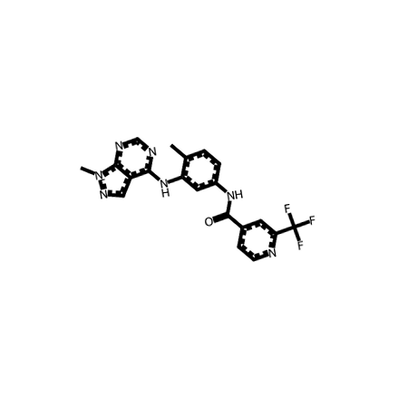 Cc1ccc(NC(=O)c2ccnc(C(F)(F)F)c2)cc1Nc1ncnc2c1cnn2C